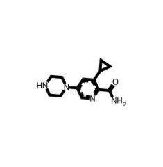 NC(=O)c1ncc(N2CCNCC2)cc1C1CC1